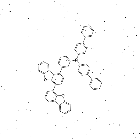 c1ccc(-c2ccc(N(c3ccc(-c4ccccc4)cc3)c3cccc(-c4ccc(-c5cccc6c5oc5ccccc56)c5oc6ccccc6c45)c3)cc2)cc1